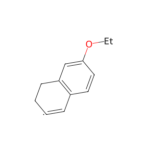 CCOc1ccc2c(c1)CC[C]=C2